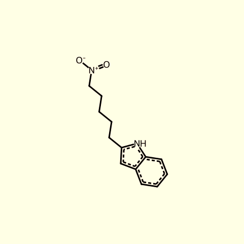 O=[N+]([O-])CCCCCc1cc2ccccc2[nH]1